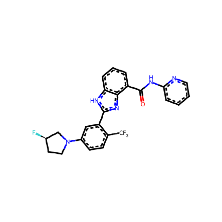 O=C(Nc1ccccn1)c1cccc2[nH]c(-c3cc(N4CC[C@@H](F)C4)ccc3C(F)(F)F)nc12